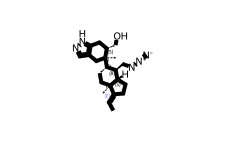 C/C=C1\CC[C@H]2[C@H](CN=[N+]=[N-])[C@@H]([C@@]3(C)Cc4cn[nH]c4C[C@@H]3CO)CC[C@]12C